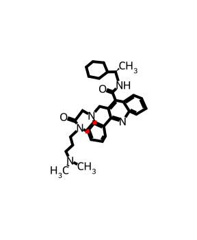 C[C@H](NC(=O)c1c(CN2CCN(CCCN(C)C)C(=O)C2)c(-c2ccccc2)nc2ccccc12)C1CCCCC1